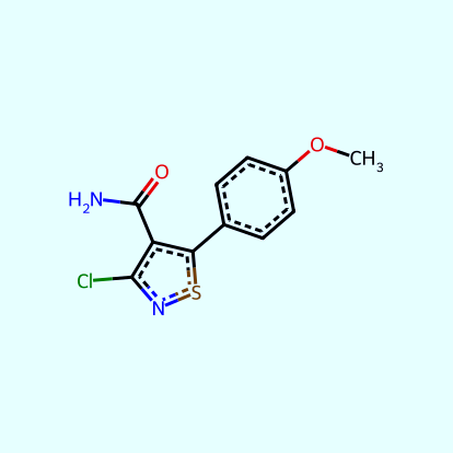 COc1ccc(-c2snc(Cl)c2C(N)=O)cc1